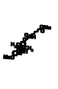 COC(=O)CCCCCNC(=O)COc1cc(C)c(S(=O)(=O)C2(S)N=c3ccc(OC)cc3=N2)c(C)c1